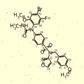 CNC(=O)N(c1ccc(S(=O)(=O)N(Cc2ccc(OC)cc2)c2ccon2)cc1)c1cc(F)c(Br)cc1OC